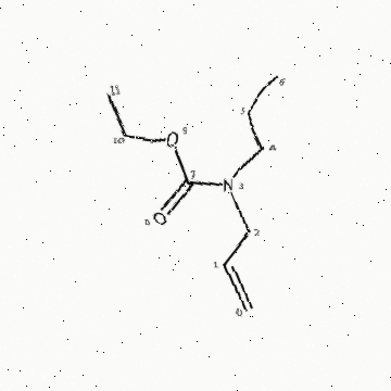 C=CCN(CCC)C(=O)OCC